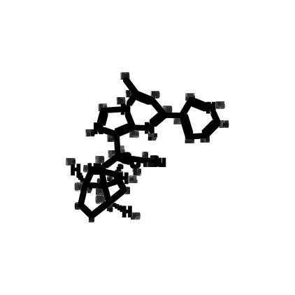 CCCCO[C@@H]1C[C@H]2CC[C@@H](C1)[C@@H]2NC(=O)c1ncn2c(C)cc(-c3cccnc3)nc12